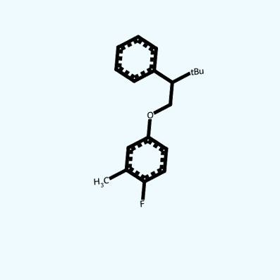 Cc1cc(OCC(c2ccccc2)C(C)(C)C)ccc1F